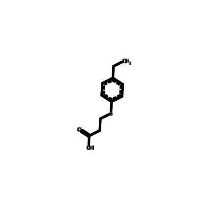 CCc1ccc(SCCC(=O)O)cc1